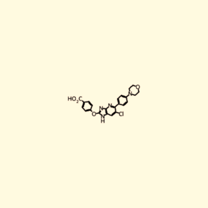 O=C(O)c1ccc(Oc2nc3nc(-c4ccc(N5CCOCC5)cc4)c(Cl)cc3[nH]2)cc1